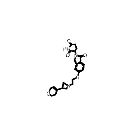 O=C1CCC(N2Cc3cc(OCCN4CC(C5=CCOCC5)C4)ccc3C2=O)C(=O)N1